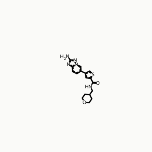 Nc1nc2ccc(-c3csc(C(=O)NCC4CCOCC4)c3)cn2n1